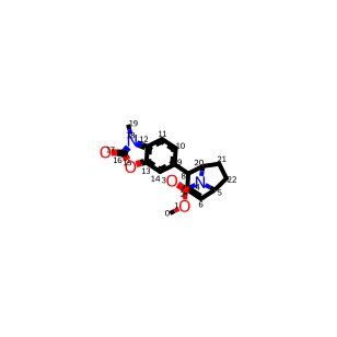 COC(=O)N1C2C=CC(c3ccc4c(c3)oc(=O)n4C)C1CC2